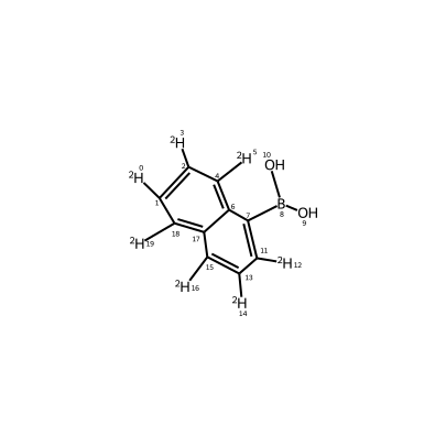 [2H]c1c([2H])c([2H])c2c(B(O)O)c([2H])c([2H])c([2H])c2c1[2H]